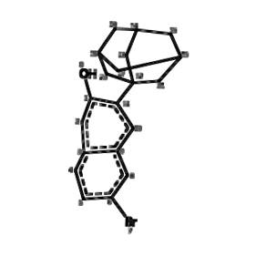 Oc1cc2ccc(Br)cc2cc1C12CC3CC(CC(C3)C1)C2